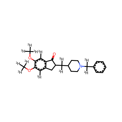 [2H]c1c2c(c([2H])c(OC([2H])([2H])[2H])c1OC([2H])([2H])[2H])C(=O)C(C([2H])([2H])C1CCN(C([2H])([2H])c3ccccc3)CC1)C2